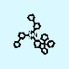 C1=CC2c3ccc(-c4nc(-c5cccc(-c6ccccc6)c5)nc(-c5cccc(-c6ccccc6)c5)n4)cc3C(c3ccccc3)(c3ccccc3)C2C=C1